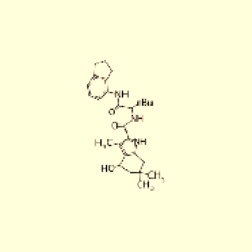 CCCCC(NC(=O)c1[nH]c2c(c1C)C(O)CC(C)(C)C2)C(=O)Nc1cccc2c1CCC2